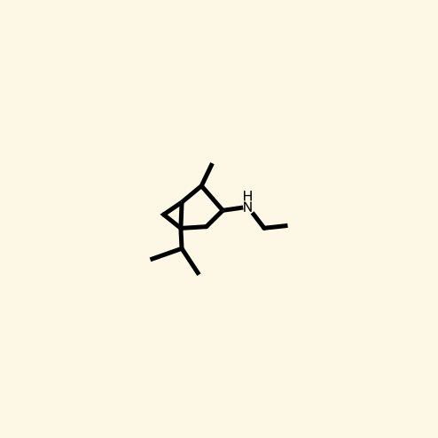 CCNC1CC2(C(C)C)CC2C1C